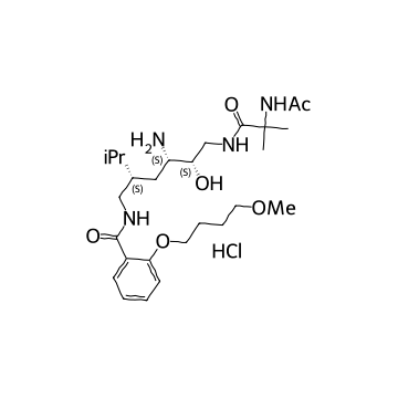 COCCCCOc1ccccc1C(=O)NC[C@@H](C[C@H](N)[C@@H](O)CNC(=O)C(C)(C)NC(C)=O)C(C)C.Cl